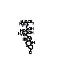 CO[C@@H](C(=O)N[C@H]1CSC2C=C(Cl)C=CC2NC1=O)[C@H](O)[C@@H](O)[C@H](O)/C=C/C(C)(C)C